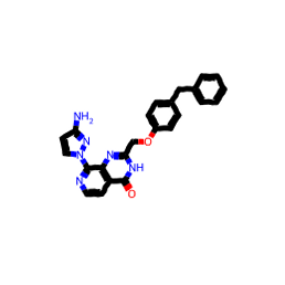 Nc1ccn(-c2nccc3c(=O)[nH]c(COc4ccc(Cc5ccccc5)cc4)nc23)n1